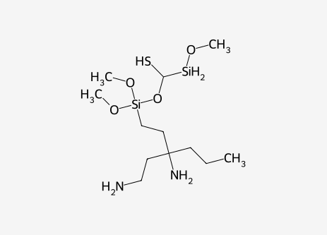 CCCC(N)(CCN)CC[Si](OC)(OC)OC(S)[SiH2]OC